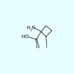 NC1(C(=O)O)CCC1I